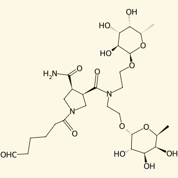 C[C@@H]1O[C@@H](OCCN(CCO[C@@H]2O[C@@H](C)[C@@H](O)[C@@H](O)[C@@H]2O)C(=O)[C@H]2CN(C(=O)CCCCC=O)C[C@H]2C(N)=O)[C@@H](O)[C@H](O)[C@@H]1O